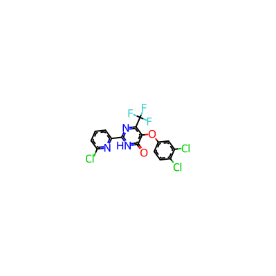 O=c1[nH]c(-c2cccc(Cl)n2)nc(C(F)(F)F)c1Oc1ccc(Cl)c(Cl)c1